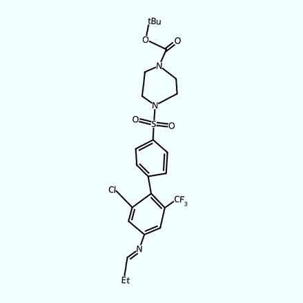 CCC=Nc1cc(Cl)c(-c2ccc(S(=O)(=O)N3CCN(C(=O)OC(C)(C)C)CC3)cc2)c(C(F)(F)F)c1